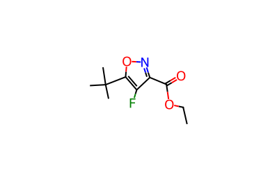 CCOC(=O)c1noc(C(C)(C)C)c1F